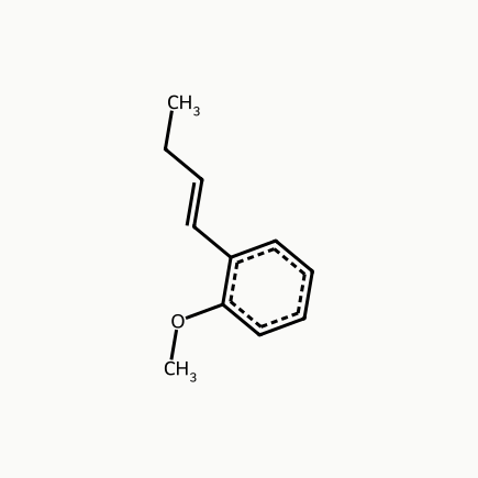 CCC=Cc1ccccc1OC